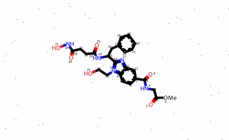 COC(=O)CNC(=O)c1ccc2c(c1)nc(C(Cc1ccccc1)NC(=O)CCC(=O)NO)n2CCO